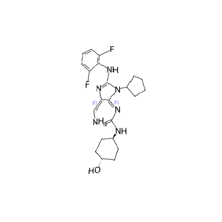 C=C(/N=C1\C(=C/N)N=C(Nc2c(F)cccc2F)N1C1CCCC1)N[C@H]1CC[C@H](O)CC1